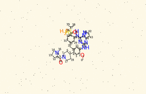 COc1cc(C2CCN(C(=O)C3CCCN3C)CC2)c(C)cc1Nc1nc(Nc2ccccc2[SH](=O)(P)C(C)C)n2nccc2n1